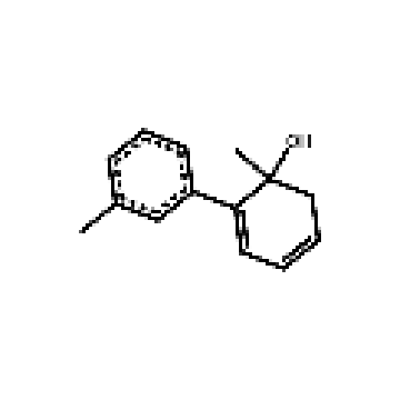 Cc1cccc(C2=CC=CCC2(C)O)c1